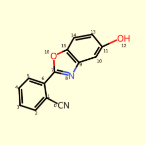 N#Cc1ccccc1-c1nc2cc(O)ccc2o1